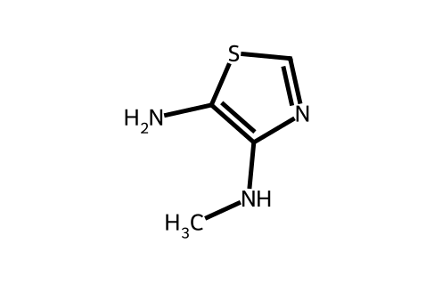 CNc1ncsc1N